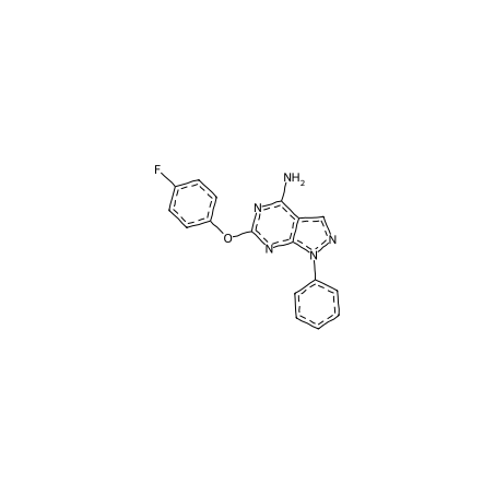 Nc1nc(Oc2ccc(F)cc2)nc2c1cnn2-c1ccccc1